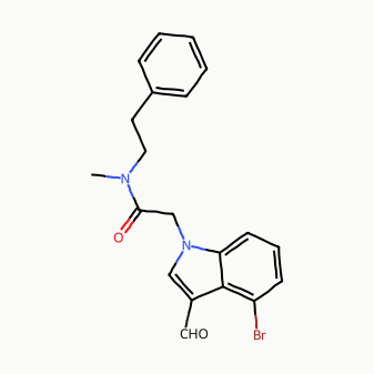 CN(CCc1ccccc1)C(=O)Cn1cc(C=O)c2c(Br)cccc21